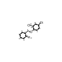 CCc1ccc(OCc2ccccc2F)c(Cl)c1